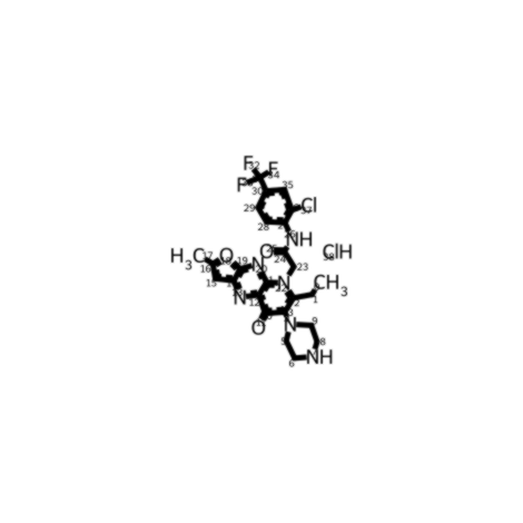 CCc1c(N2CCNCC2)c(=O)c2nc3cc(C)oc3nc2n1CC(=O)Nc1ccc(C(F)(F)F)cc1Cl.Cl